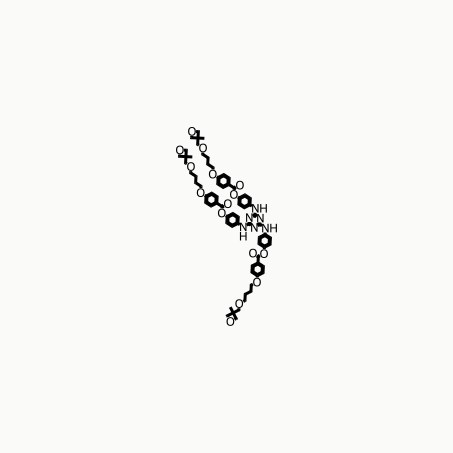 CC1(COCCCCOc2ccc(C(=O)Oc3ccc(Nc4nc(Nc5ccc(OC(=O)c6ccc(OCCCCOCC7(C)COC7)cc6)cc5)nc(Nc5ccc(OC(=O)c6ccc(OCCCCOCC7(C)COC7)cc6)cc5)n4)cc3)cc2)COC1